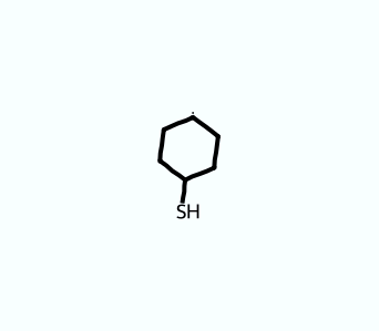 SC1CC[CH]CC1